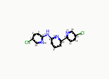 Clc1ccc(Nc2cccc(-c3ccc(Cl)cn3)n2)nc1